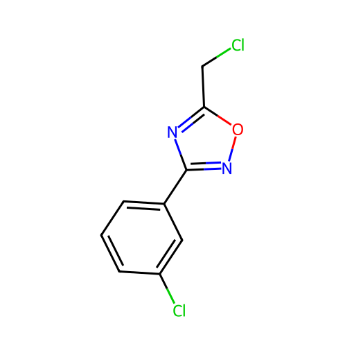 ClCc1nc(-c2cccc(Cl)c2)no1